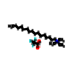 CCCCCCCCCCCCCCCC[N+](C)(C)C.O=C([O-])C(F)(F)F